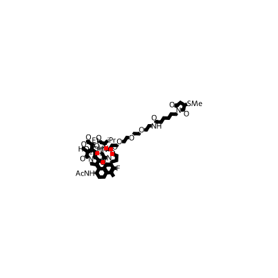 CC[C@@]1(OC(=O)C(NC(=O)[C@@H]2CCCN2C(=O)[C@H](CC(=O)O)NC(=O)CCOCCOCCOCCNC(=O)CCCCCN2C(=O)CC(SC)C2=O)C(C)C)C(=O)OCc2c1cc1n(c2=O)Cc2c-1nc1cc(F)c(C)c3c1c2[C@@H](NC(C)=O)CC3